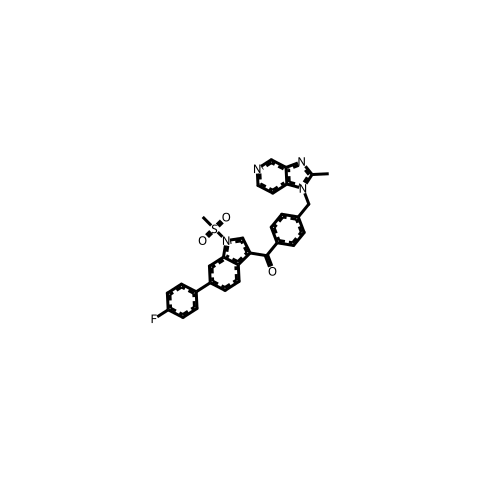 Cc1nc2cnccc2n1Cc1ccc(C(=O)c2cn(S(C)(=O)=O)c3cc(-c4ccc(F)cc4)ccc23)cc1